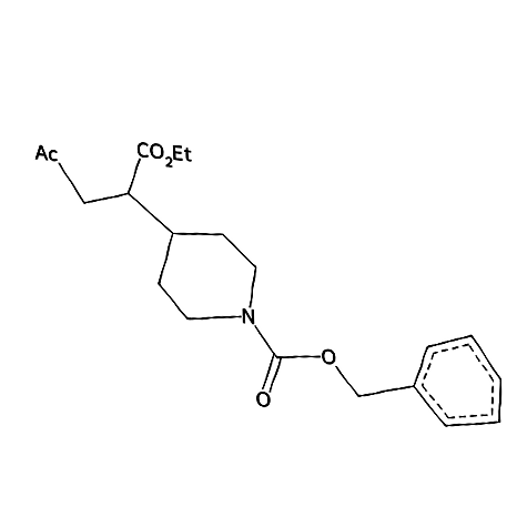 CCOC(=O)C(CC(C)=O)C1CCN(C(=O)OCc2ccccc2)CC1